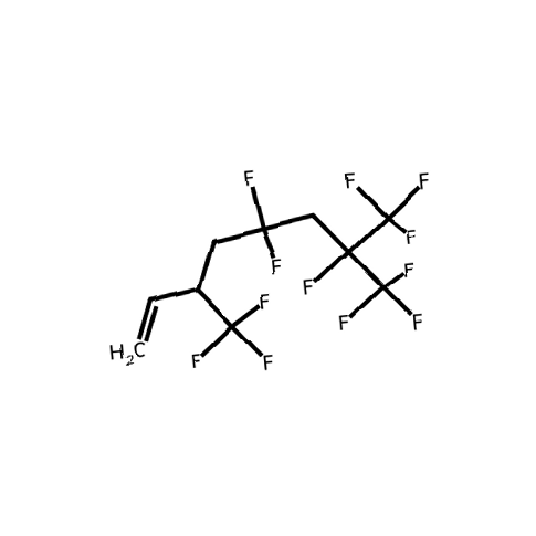 C=CC(CC(F)(F)CC(F)(C(F)(F)F)C(F)(F)F)C(F)(F)F